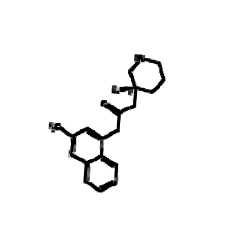 CC[C@]1(CC(=O)Cc2cc(C(F)(F)F)nc3ccccc23)CCCNC1